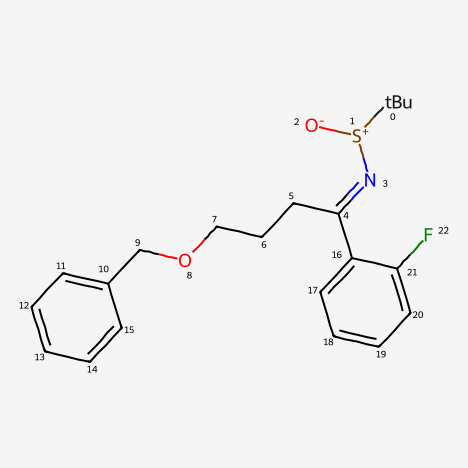 CC(C)(C)[S+]([O-])/N=C(\CCCOCc1ccccc1)c1ccccc1F